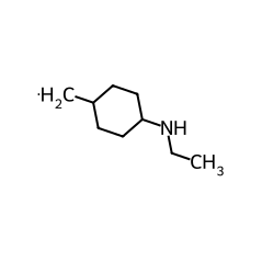 [CH2]C1CCC(NCC)CC1